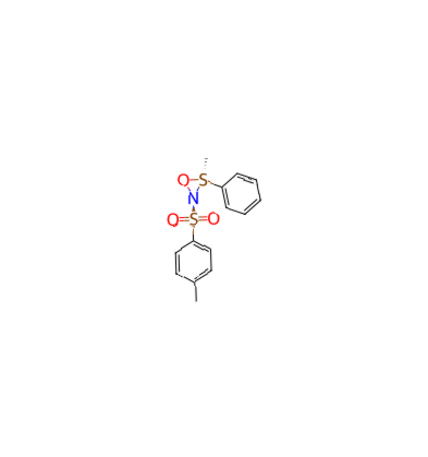 Cc1ccc(S(=O)(=O)[N@@]2O[S@@]2(C)c2ccccc2)cc1